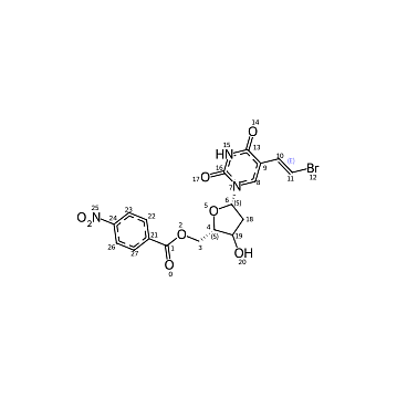 O=C(OC[C@@H]1O[C@H](n2cc(/C=C/Br)c(=O)[nH]c2=O)CC1O)c1ccc([N+](=O)[O-])cc1